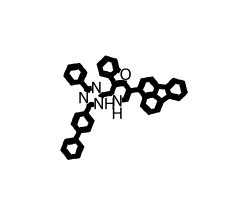 C1=C(c2ccc3c4c(cccc24)-c2ccccc2-3)c2oc3ccccc3c2C(C2=NC(c3ccccc3)=NC(c3ccc(-c4ccccc4)cc3)N2)N1